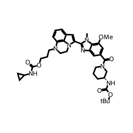 COc1cc(C(=O)N2CCC[C@@H](NC(=O)OC(C)(C)C)C2)cc2nc(-c3cc4cccc5c4n3CCN5CCCOC(=O)NC3CC3)n(C)c12